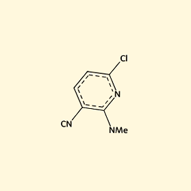 [C-]#[N+]c1ccc(Cl)nc1NC